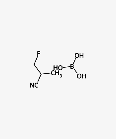 CC(C#N)CF.OB(O)O